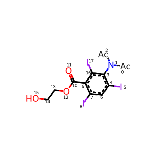 CC(=O)N(C(C)=O)c1c(I)cc(I)c(C(=O)OCCO)c1I